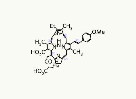 CCC1=C(C)/C2=C/c3c(/C=C/c4ccc(OC)cc4)c(C)c4n3Nn3/c(c(C)c(C(=O)O)/c3=C(\CC(=O)O)C3=N/C(=C\4)C[C@@H]3CCC(=O)O)=C\C1=N2